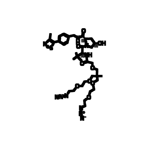 Cc1ncsc1-c1ccc(CNC(=O)[C@@H]2C[C@@H](O)CN2C(=O)[C@@H](NC(=O)COCC(C)(COCCOCCN=[N+]=[N-])COCCOCCN=[N+]=[N-])C(C)(C)C)cc1